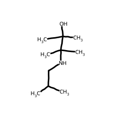 CC(C)CNC(C)(C)C(C)(C)O